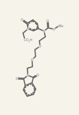 CC(C)(C)OC(=O)N(CCOCCOCCN1C(=O)c2ccccc2C1=O)c1ccc(=O)n(CC(=O)O)c1